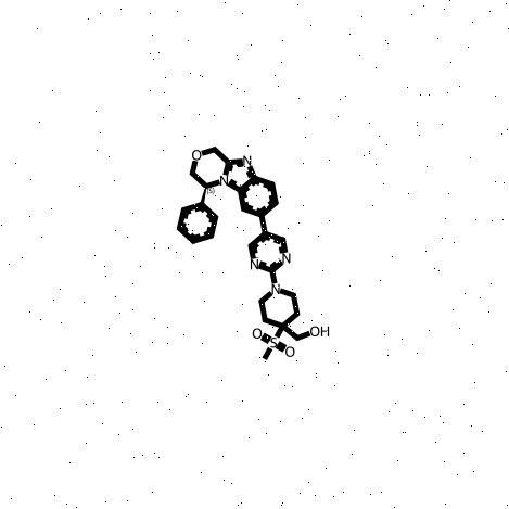 CS(=O)(=O)C1(CO)CCN(c2ncc(-c3ccc4nc5n(c4c3)[C@@H](c3ccccc3)COC5)cn2)CC1